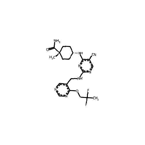 CC(F)(F)COc1ncncc1CNc1ncc(C#N)c(N[C@H]2CC[C@@](C)(C(N)=O)CC2)n1